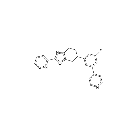 Fc1cc(-c2ccncc2)cc(C2CCc3nc(-c4ccccn4)oc3C2)c1